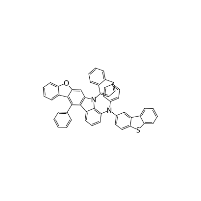 c1ccc(-c2c3c(cc4c2c2cccc(N(c5ccccc5)c5ccc6sc7ccccc7c6c5)c2n4-c2cccc4ccccc24)oc2ccccc23)cc1